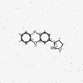 Fc1ccc([C@H]2CCON2)cc1Oc1ccccc1